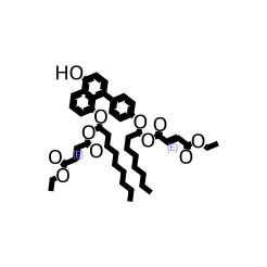 CCCCCCCCC(OC(=O)/C=C/C(=O)OCC)Oc1cccc2c(O)ccc(-c3ccc(OC(CCCCCCC)OC(=O)/C=C/C(=O)OCC)cc3)c12